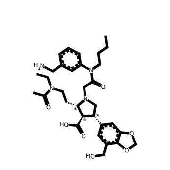 CCCCN(C(=O)CN1C[C@H](c2cc(CO)c3c(c2)OCO3)[C@@H](C(=O)O)[C@@H]1CCN(CC)C(C)=O)c1cccc(CN)c1